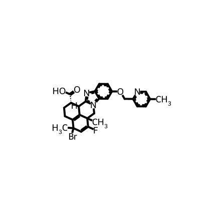 Cc1ccc(COc2ccc3nc4n(c3c2)CC2(C)C(F)=CC(C)(Br)C3=C2[C@H]4[C@@H](C(=O)O)CC3)nc1